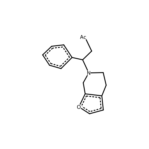 CC(=O)CC(c1ccccc1)N1CCc2ccoc2C1